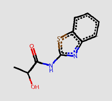 CC(O)C(=O)Nc1nc2[c]cccc2s1